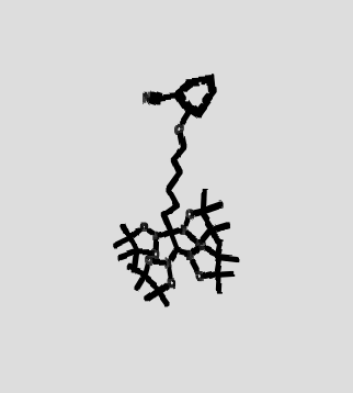 CC1(C)OB(C(B2OC(C)(C)C(C)(C)O2)C(CCCCCCOc2ccccc2C#N)(B2OC(C)(C)C(C)(C)O2)B2OC(C)(C)C(C)(C)O2)OC1(C)C